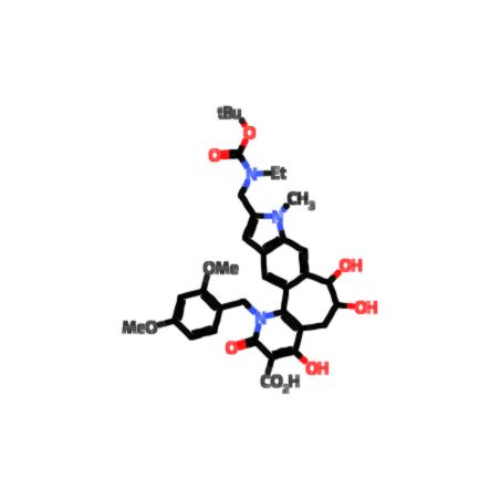 CCN(Cc1cc2cc3c(cc2n1C)C(O)C(O)Cc1c(O)c(C(=O)O)c(=O)n(Cc2ccc(OC)cc2OC)c1-3)C(=O)OC(C)(C)C